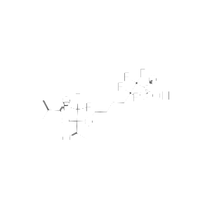 C=C(C)C(=O)OC(OCCCCC(F)(F)C(F)(F)S(=O)(=O)O)(C(C)=O)C(F)(F)F